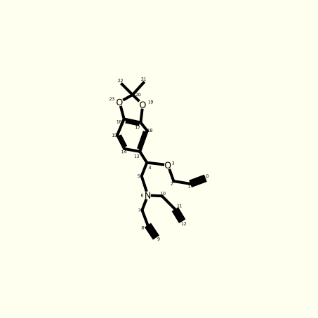 C#CCOC(CN(CC#C)CC#C)c1ccc2c(c1)OC(C)(C)O2